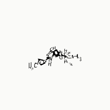 COc1cc2nc(C(C)(C)C)oc2cc1NC(=S)N1CCN(C)CC1